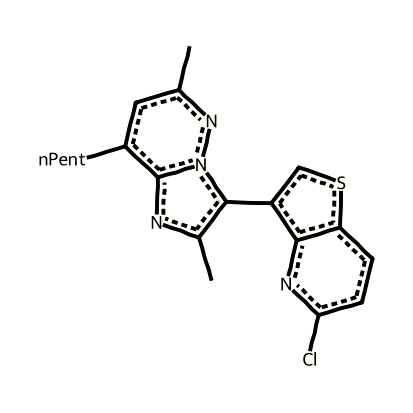 CCCCCc1cc(C)nn2c(-c3csc4ccc(Cl)nc34)c(C)nc12